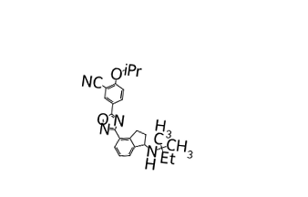 CCC(C)(C)NC1CCc2c(-c3noc(-c4ccc(OC(C)C)c(C#N)c4)n3)cccc21